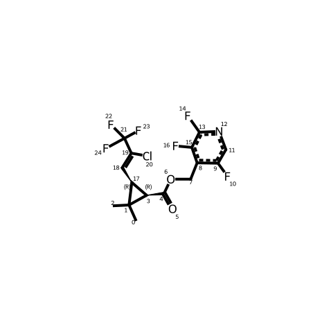 CC1(C)[C@H](C(=O)OCc2c(F)cnc(F)c2F)[C@@H]1C=C(Cl)C(F)(F)F